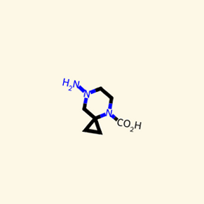 NN1CCN(C(=O)O)C2(CC2)C1